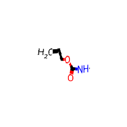 C=CCOC([NH])=O